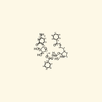 NP(S)OC1NCCC1CCSC(=O)c1ccccc1.Nc1ccn([C@@H]2O[C@H](COC(=O)c3ccccc3)[C@@H](O)[C@H]2O)c(=O)n1